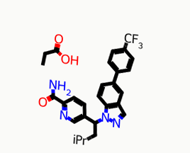 CC(C)CC(c1ccc(C(N)=O)nc1)n1ncc2cc(-c3ccc(C(F)(F)F)cc3)ccc21.CCC(=O)O